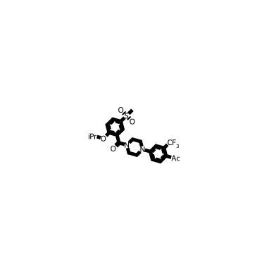 CC(=O)c1ccc(N2CCN(C(=O)c3cc(S(C)(=O)=O)ccc3OC(C)C)CC2)cc1C(F)(F)F